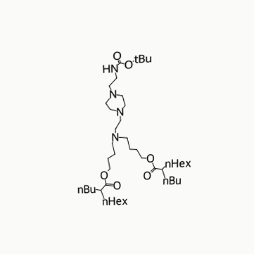 CCCCCCC(CCCC)C(=O)OCCCCN(CCCCOC(=O)C(CCCC)CCCCCC)CCN1CCN(CCNC(=O)OC(C)(C)C)CC1